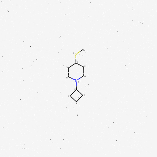 CSC1CCN(C2CCC2)CC1